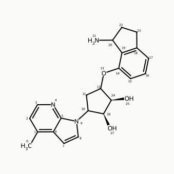 Cc1ccnc2c1ccn2C1CC(Oc2cccc3c2C(N)CC3)[C@@H](O)[C@H]1O